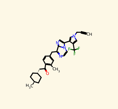 C#CCn1cc(-c2cnc3c(Cc4ccc(C(=O)C[C@H]5CC[C@H](C)CC5)c(C)c4)nccn23)c(C(F)(F)F)c1